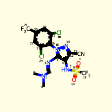 CN(C)C=Nc1c(NS(=O)(=O)C(F)(F)F)c(C#N)nn1-c1c(Cl)cc(C(F)(F)F)cc1Cl